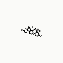 C[C@]12CCC3C(C4C[C@H]4[C@]4(O)CC(=O)CC[C@]34C)C1[C@@H]1CC1[C@@]21CCC(=O)O1